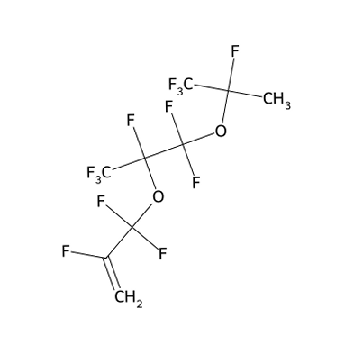 C=C(F)C(F)(F)OC(F)(C(F)(F)F)C(F)(F)OC(C)(F)C(F)(F)F